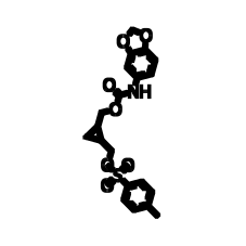 Cc1ccc(S(=O)(=O)OCC2CC2COC(=O)Nc2ccc3c(c2)OCO3)cc1